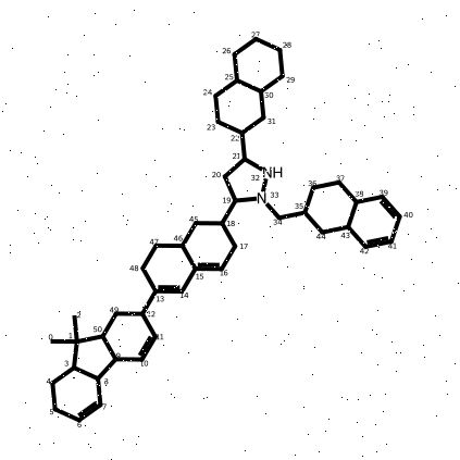 CC1(C)C2CCC=CC2C2C=CC(C3=CC4=CCC(C5CC(C6CCC7CCCCC7C6)NN5CC5CCC6C=CC=CC6C5)CC4CC3)CC21